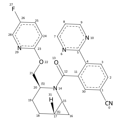 N#Cc1ccc(-c2ncccn2)c(C(=O)N2C3C[C@@H]3CC[C@H]2COc2ccc(F)cn2)c1